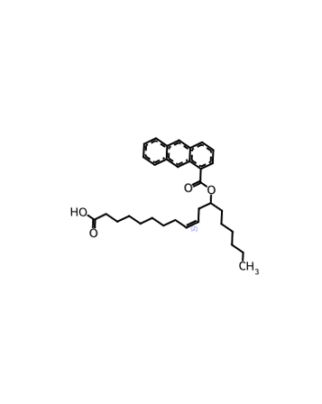 CCCCCCC(C/C=C\CCCCCCCC(=O)O)OC(=O)c1cccc2cc3ccccc3cc12